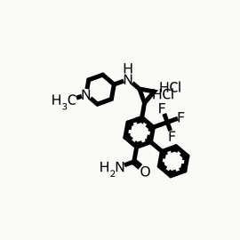 CN1CCC(NC2CC2c2ccc(C(N)=O)c(-c3ccccc3)c2C(F)(F)F)CC1.Cl.Cl